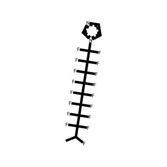 CC(F)C(F)(F)C(F)(F)C(F)(F)C(F)(F)C(F)(F)C(F)(F)C(F)(F)C(F)(F)n1ccnc1